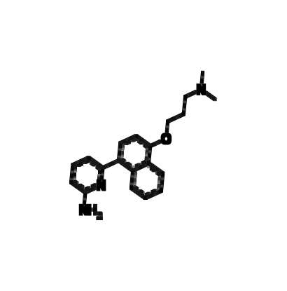 CN(C)CCCOc1ccc(-c2cccc(N)n2)c2ccccc12